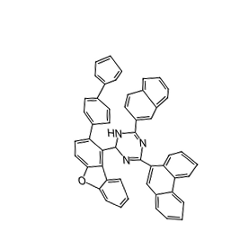 c1ccc(-c2ccc(-c3ccc4oc5ccccc5c4c3C3N=C(c4cc5ccccc5c5ccccc45)N=C(c4ccc5ccccc5c4)N3)cc2)cc1